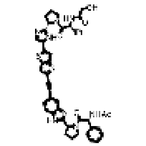 CC(=O)N[C@@H](C(=O)N1CCCC1c1nc2cc(C#Cc3cc4sc(-c5cnc([C@@H]6CCCN6C(=O)[C@@H](NC(=O)CO)C(C)C)[nH]5)cc4s3)ccc2[nH]1)c1ccccc1